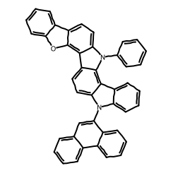 c1ccc(-n2c3ccc4c5ccccc5oc4c3c3ccc4c(c5ccccc5n4-c4cc5ccccc5c5ccccc45)c32)cc1